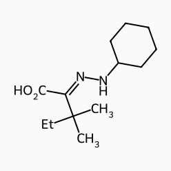 CCC(C)(C)C(=NNC1CCCCC1)C(=O)O